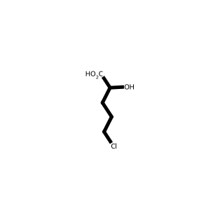 O=C(O)C(O)CCCCl